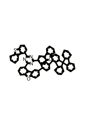 c1ccc2c(c1)-c1ccccc1C21c2ccccc2-c2c(-c3ccc(-c4ccc5oc6cccc(-c7nc(-c8ccc9oc%10ccccc%10c9c8)nc(-c8cccc9sc%10ccccc%10c89)n7)c6c5c4)cc3)cccc21